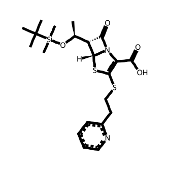 C[C@H](O[Si](C)(C)C(C)(C)C)[C@@H]1C(=O)N2C(C(=O)O)=C(SCCc3ccccn3)S[C@H]12